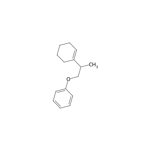 CC(COc1ccccc1)C1=CCCCC1